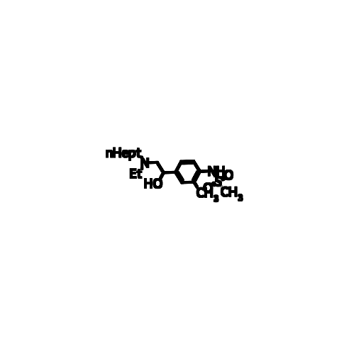 CCCCCCCN(CC)CC(O)c1ccc(NS(C)(=O)=O)c(C)c1